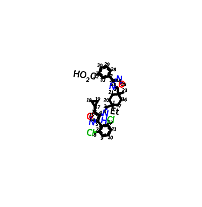 CCC1(CNc2c(-c3c(Cl)cccc3Cl)noc2C2CC2)CCC(C)(c2nc(-c3cccc(C(=O)O)c3)no2)CC1